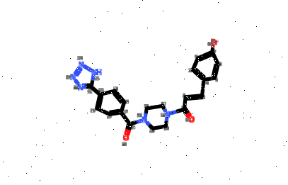 O=C(C=Cc1ccc(Br)cc1)N1CCN(C(=O)c2ccc(-c3nnn[nH]3)cc2)CC1